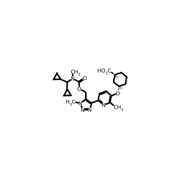 Cc1nc(-c2nnn(C)c2COC(=O)N(C)C(C2CC2)C2CC2)ccc1O[C@H]1CCC[C@H](C(=O)O)C1